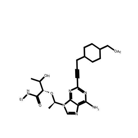 CCNC(=O)[C@@H](O[C@H](C)n1cnc2c(N)nc(C#CCC3CCC(COC(C)=O)CC3)nc21)C(C)O